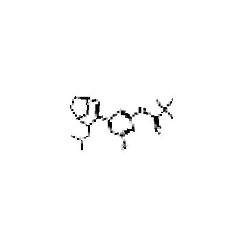 CN(C)CC1C(c2cc(F)cc(OC(=O)C(C)(C)C)c2)=CC2CCC1C2